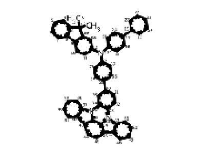 CC1(C)c2ccccc2-c2ccc(N(c3ccc(-c4ccccc4)cc3)c3ccc(-c4ccc5c(c4)n4c6ccccc6c6ccc7c8ccccc8n5c7c64)cc3)cc21